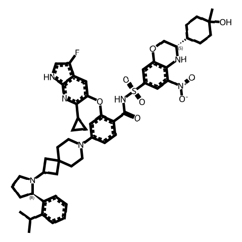 CC(C)c1ccccc1[C@H]1CCCN1C1CC2(CCN(c3ccc(C(=O)NS(=O)(=O)c4cc5c(c([N+](=O)[O-])c4)N[C@@H](C4CCC(C)(O)CC4)CO5)c(Oc4cc5c(F)c[nH]c5nc4C4CC4)c3)CC2)C1